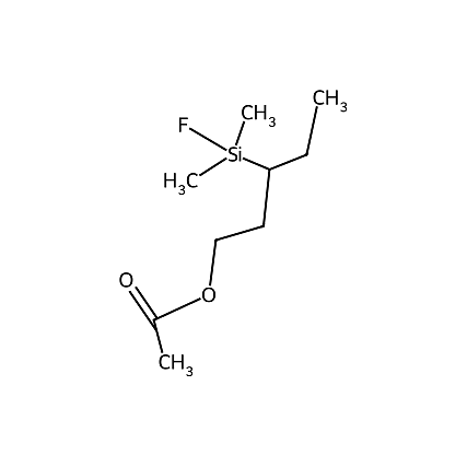 CCC(CCOC(C)=O)[Si](C)(C)F